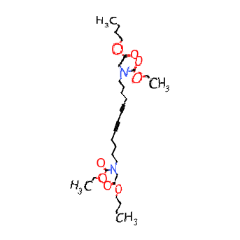 CCCCOC(=O)CN(CCCCC#CC#CCCCCN(CC(=O)OCCCC)C(=O)OCC)C(=O)OCC